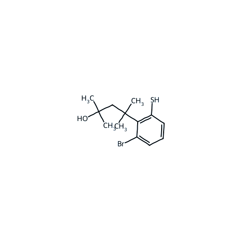 CC(C)(O)CC(C)(C)c1c(S)cccc1Br